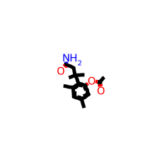 CC(=O)Oc1cc(C)cc(C)c1C(C)(C)CC(N)=O